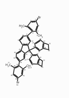 Cc1cc(Br)cc(C)c1-c1ccc2c(c1)C(c1ccc3c(c1)CC3)(c1ccc3c(c1)CC3)c1cc(-c3c(C)cc(Br)cc3C)ccc1-2